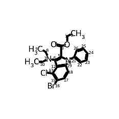 CCOC(=O)c1c(N(CC)CC)c2c(Cl)c(Br)ccc2n1-c1ccccc1